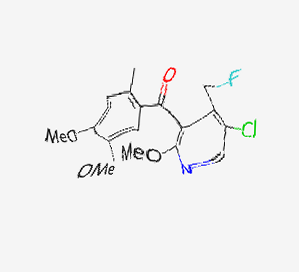 COc1cc(C)c(C(=O)c2c(OC)ncc(Cl)c2CF)cc1OC